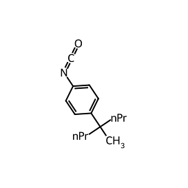 CCCC(C)(CCC)c1ccc(N=C=O)cc1